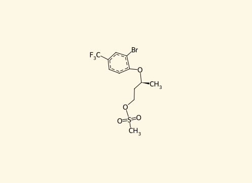 C[C@@H](CCOS(C)(=O)=O)Oc1ccc(C(F)(F)F)cc1Br